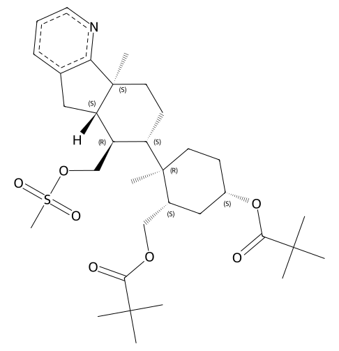 CC(C)(C)C(=O)OC[C@H]1C[C@@H](OC(=O)C(C)(C)C)CC[C@]1(C)[C@H]1CC[C@]2(C)c3ncccc3C[C@H]2[C@@H]1COS(C)(=O)=O